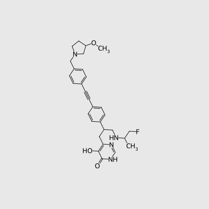 COC1CCN(Cc2ccc(C#Cc3ccc(C(CNC(C)CF)Cc4nc[nH]c(=O)c4O)cc3)cc2)C1